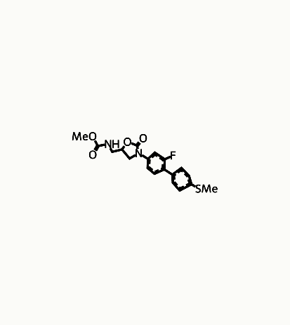 COC(=O)NCC1CN(c2ccc(-c3ccc(SC)cc3)c(F)c2)C(=O)O1